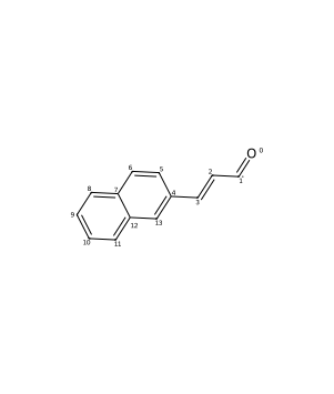 O=[C]/C=C/c1ccc2ccccc2c1